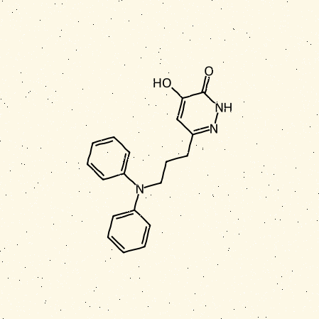 O=c1[nH]nc(CCCN(c2ccccc2)c2ccccc2)cc1O